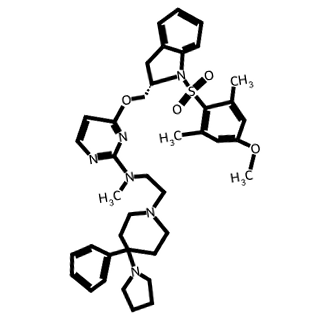 COc1cc(C)c(S(=O)(=O)N2c3ccccc3C[C@H]2COc2ccnc(N(C)CCN3CCC(c4ccccc4)(N4CCCC4)CC3)n2)c(C)c1